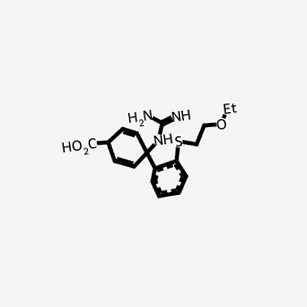 CCOCCSc1ccccc1C1(NC(=N)N)C=CC(C(=O)O)C=C1